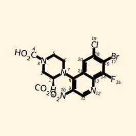 O=C(O)[C@H]1CN(C(=O)O)CCN1c1c([N+](=O)[O-])cnc2c(F)c(Br)c(Cl)cc12